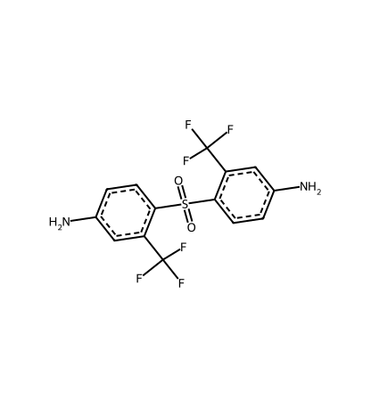 Nc1ccc(S(=O)(=O)c2ccc(N)cc2C(F)(F)F)c(C(F)(F)F)c1